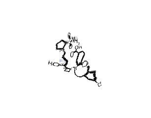 NS(=O)(=O)[C@H]1CCC[C@@H]1C/C=C/[C@H](O)[C@@H]1CC[C@H]1CN1CCCCc2cc(Cl)ccc2COc2ccc(C(=O)O)cc21